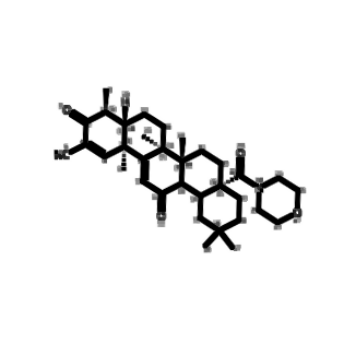 C[C@@H]1C(=O)C(C#N)=C[C@]2(C)C3=CC(=O)C4C5CC(C)(C)CC[C@]5(C(=O)N5CCOCC5)CC[C@@]4(C)[C@]3(C)CC[C@@H]12